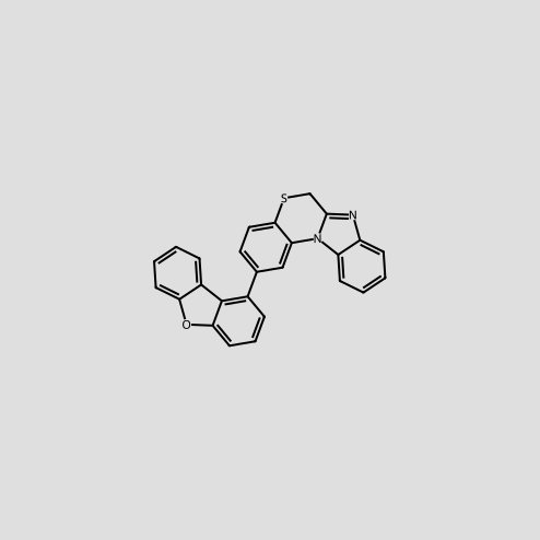 c1ccc2c(c1)nc1n2-c2cc(-c3cccc4oc5ccccc5c34)ccc2SC1